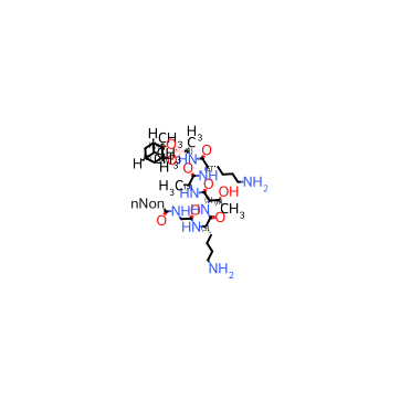 CCCCCCCCCC(=O)NCC(=O)N[C@@H](CCCCN)C(=O)N[C@H](C(=O)N[C@@H](C)C(=O)N[C@@H](CCCCN)C(=O)N[C@@H](C)B1O[C@@H]2C[C@@H]3C[C@@H](C3(C)C)[C@]2(C)O1)[C@@H](C)O